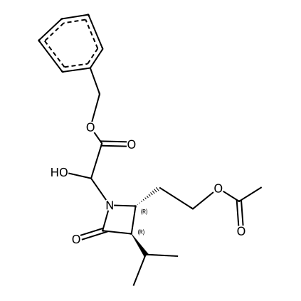 CC(=O)OCC[C@@H]1[C@@H](C(C)C)C(=O)N1C(O)C(=O)OCc1ccccc1